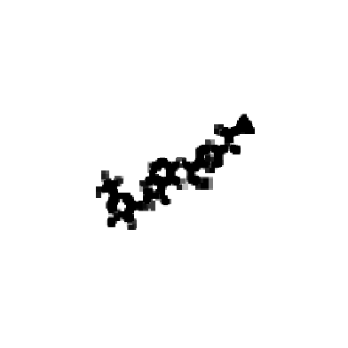 CN(C(=O)C1CC1)C1=CN/C(=C(\C=N)Oc2cnc3nc(Nc4cc(C(F)(F)F)cn(C)c4=O)n(C)c3c2Cl)C=N1